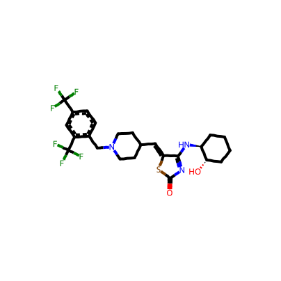 O=C1N=C(N[C@H]2CCCC[C@@H]2O)C(=CC2CCN(Cc3ccc(C(F)(F)F)cc3C(F)(F)F)CC2)S1